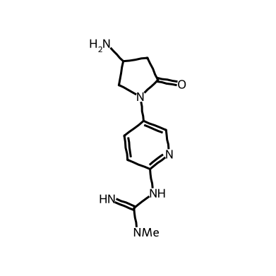 CNC(=N)Nc1ccc(N2CC(N)CC2=O)cn1